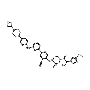 Cn1cc(C(O)C(=O)N2CC[C@H](Oc3ccc(-c4nccc(Nc5ccc(N6CCN(C7COC7)CC6)cc5)n4)cc3C#N)[C@H](F)C2)cn1